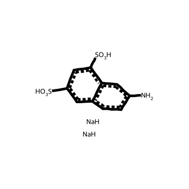 Nc1ccc2cc(S(=O)(=O)O)cc(S(=O)(=O)O)c2c1.[NaH].[NaH]